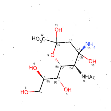 CC(=O)N[C@H]1[C@H]([C@H](O)[C@H](O)CO)OC(O)(C(=O)O)C[C@]1(N)O